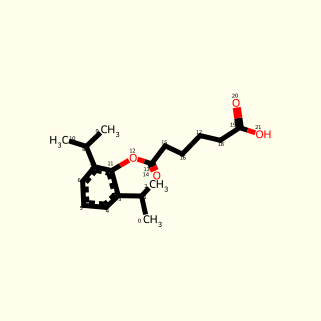 CC(C)c1cccc(C(C)C)c1OC(=O)CCCCC(=O)O